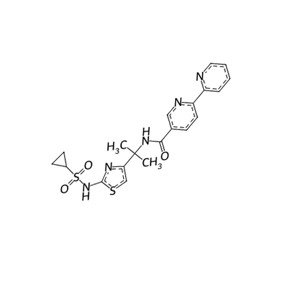 CC(C)(NC(=O)c1ccc(-c2ccccn2)nc1)c1csc(NS(=O)(=O)C2CC2)n1